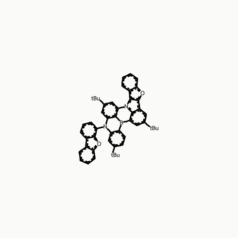 CC(C)(C)c1ccc2c(c1)N(c1cccc3c1oc1ccccc13)c1cc(C(C)(C)C)cc3c1B2c1cc(C(C)(C)C)cc2c4oc5ccccc5c4n-3c12